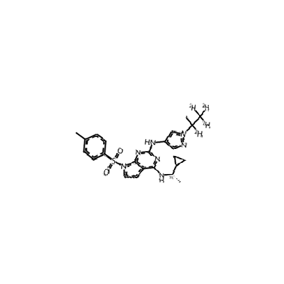 [2H]C([2H])([2H])C([2H])(C)n1cc(Nc2nc(N[C@@H](C)C3CC3)c3ccn(S(=O)(=O)c4ccc(C)cc4)c3n2)cn1